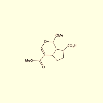 COC(=O)C1=COC(OC)C2C(C(=O)O)CCC12